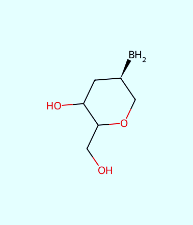 B[C@H]1COC(CO)C(O)C1